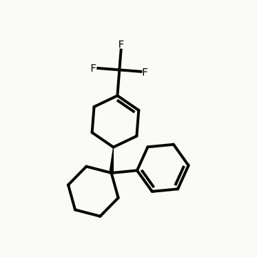 FC(F)(F)C1=CC[C@@H](C2(C3=CC=CCC3)CCCCC2)CC1